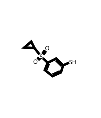 O=S(=O)(c1cccc(S)c1)C1CC1